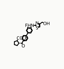 O=C(O)C1CCC[C@@H]1C(=O)c1ccc(-c2ccc(Nc3nc(CO)cs3)c(F)c2)cc1